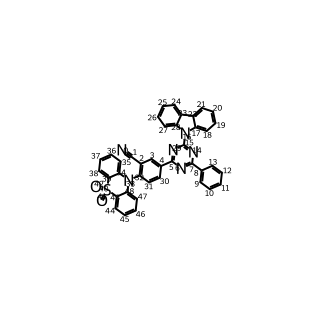 N#Cc1cc(-c2nc(-c3ccccc3)nc(-n3c4ccccc4c4ccccc43)n2)ccc1N1c2ccccc2S(=O)(=O)c2ccccc21